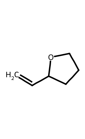 C=CC1CCCO1